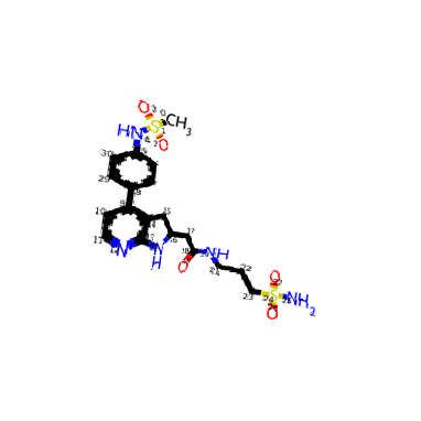 CS(=O)(=O)Nc1ccc(-c2ccnc3c2CC(CC(=O)NCCCS(N)(=O)=O)N3)cc1